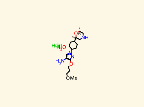 COCCCOc1nn(C2CCC([C@@]3(C)CNC[C@@H](C)O3)CC2)cc1N.Cl.Cl.O